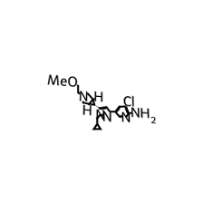 COCCN1C[C@@H]2[C@H](C1)[C@@H]2c1cc(-c2cnc(N)c(Cl)c2)nn1CC1CC1